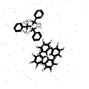 CC(C)(c1ccccc1)[IH+](C(C)(C)c1ccccc1)C(C)(C)c1ccccc1.Fc1c(F)c(F)c([B-](c2c(F)c(F)c(F)c(F)c2F)(c2c(F)c(F)c(F)c(F)c2F)c2c(F)c(F)c(F)c(F)c2F)c(F)c1F